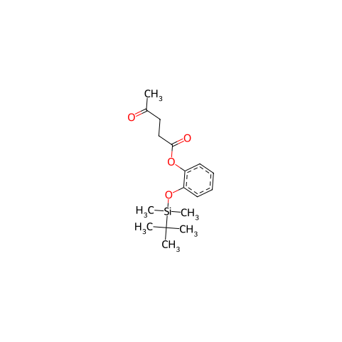 CC(=O)CCC(=O)Oc1ccccc1O[Si](C)(C)C(C)(C)C